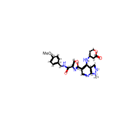 CCn1ncc2c(NC3CCOC(=O)C3)c(-c3nc(C(=O)NCc4ccc(OC)cc4)co3)cnc21